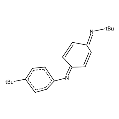 CC(C)(C)N=C1C=CC(=Nc2ccc(C(C)(C)C)cc2)C=C1